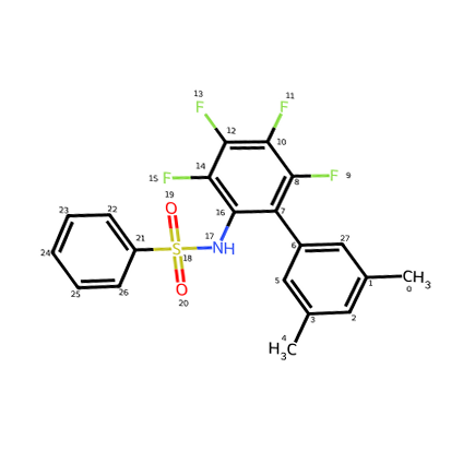 Cc1cc(C)cc(-c2c(F)c(F)c(F)c(F)c2NS(=O)(=O)c2ccccc2)c1